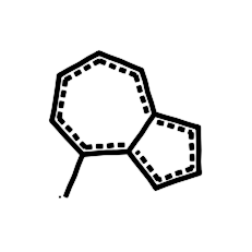 [CH2]c1ccccc2cccc1-2